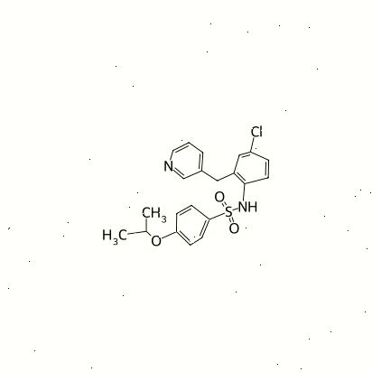 CC(C)Oc1ccc(S(=O)(=O)Nc2ccc(Cl)cc2Cc2cccnc2)cc1